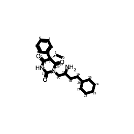 CC[C@@]1(c2ccccc2)C(=O)NC(=O)N(CC(N)CCC2CCCCC2)C1=O